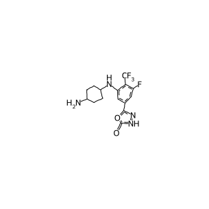 NC1CCC(Nc2cc(-c3n[nH]c(=O)o3)cc(F)c2C(F)(F)F)CC1